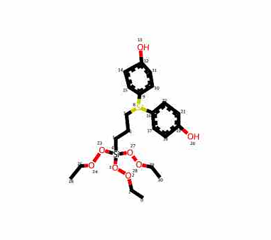 CCOO[Si](CCC[S+](c1ccc(O)cc1)c1ccc(O)cc1)(OOCC)OOCC